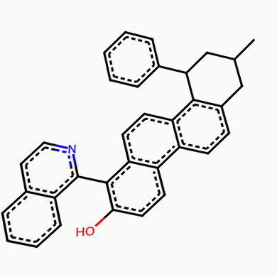 CC1Cc2ccc3c(ccc4c(-c5nccc6ccccc56)c(O)ccc43)c2C(c2ccccc2)C1